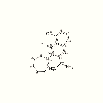 C[C@H](N)c1nc2cccc(Cl)c2c(=O)n1N1CCCCCC1